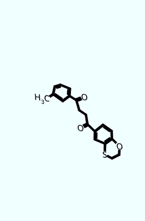 Cc1cccc(C(=O)CCC(=O)c2ccc3c(c2)SCCO3)c1